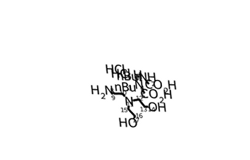 CCCCNC(=O)O.CCCCNC(=O)O.Cl.Cl.NCCN(CCO)CCO